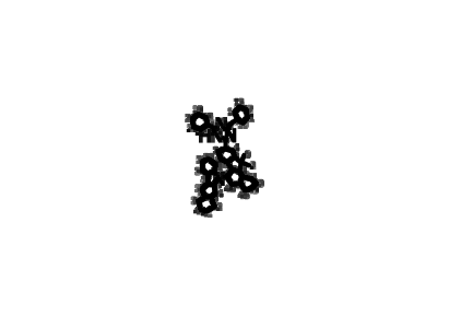 CC1(C)c2cc(C3N=C(c4ccccc4)N=C(c4ccccc4)N3)ccc2-c2c(-n3c4ccccc4c4cc5ccccc5cc43)cc3ccccc3c21